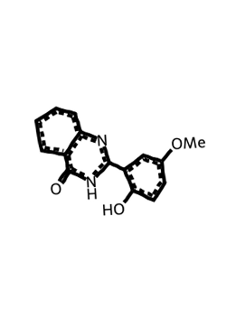 COc1ccc(O)c(-c2nc3ccccc3c(=O)[nH]2)c1